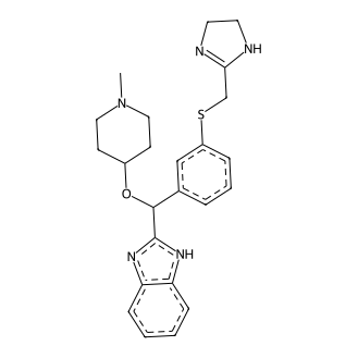 CN1CCC(OC(c2cccc(SCC3=NCCN3)c2)c2nc3ccccc3[nH]2)CC1